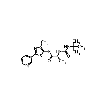 Cc1nc(-c2cccnc2)sc1NC(=O)[C@H](C)NC(=O)BC(C)(C)C